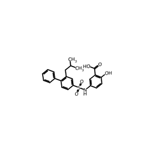 CC(C)Cc1cc(S(=O)(=O)Nc2ccc(O)c(C(=O)O)c2)ccc1-c1ccccc1